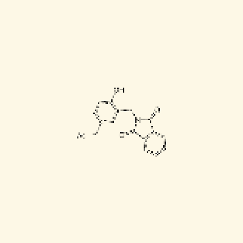 CC(=O)Cc1ccc(O)c(CN2C(=O)c3ccccc3C2=O)c1